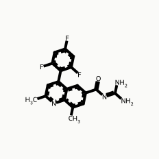 Cc1cc(-c2c(F)cc(F)cc2F)c2cc(C(=O)N=C(N)N)cc(C)c2n1